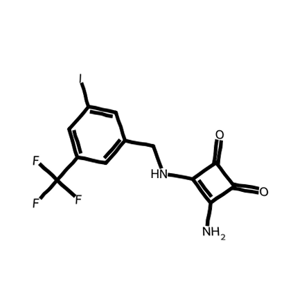 Nc1c(NCc2cc(I)cc(C(F)(F)F)c2)c(=O)c1=O